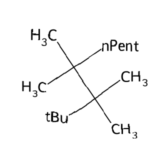 CCCCCC(C)(C)C(C)(C)C(C)(C)C